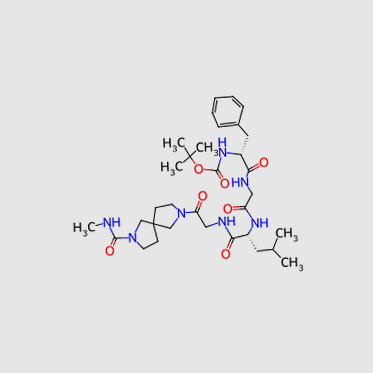 CNC(=O)N1CCC2(CCN(C(=O)CNC(=O)[C@@H](CC(C)C)NC(=O)CNC(=O)[C@@H](Cc3ccccc3)NC(=O)OC(C)(C)C)C2)C1